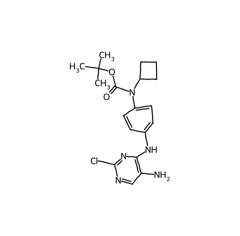 CC(C)(C)OC(=O)N(c1ccc(Nc2nc(Cl)ncc2N)cc1)C1CCC1